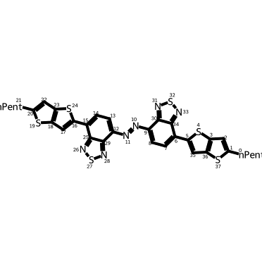 CCCCCc1cc2sc(-c3ccc(/N=N/c4ccc(-c5cc6sc(CCCCC)cc6s5)c5nsnc45)c4nsnc34)cc2s1